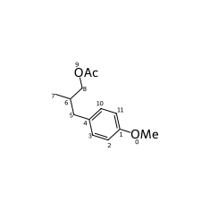 COc1ccc(CC(C)COC(C)=O)cc1